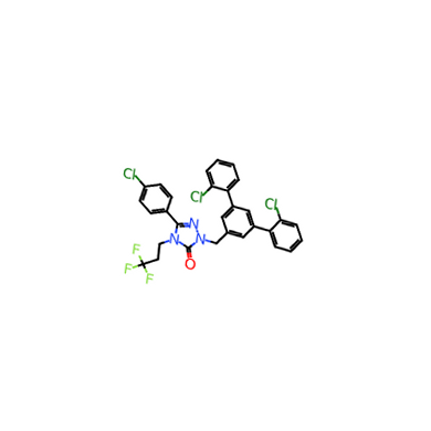 O=c1n(Cc2cc(-c3ccccc3Cl)cc(-c3ccccc3Cl)c2)nc(-c2ccc(Cl)cc2)n1CCC(F)(F)F